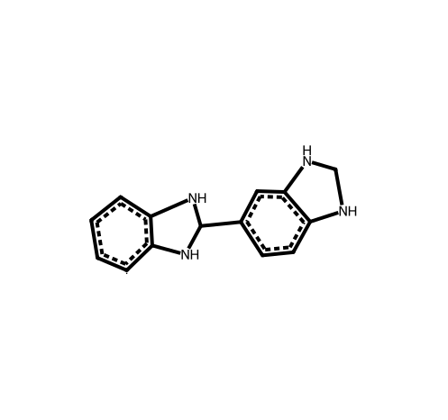 [c]1cccc2c1NC(c1ccc3c(c1)NCN3)N2